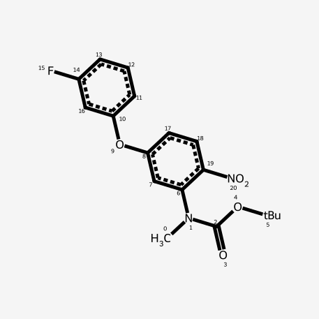 CN(C(=O)OC(C)(C)C)c1cc(Oc2cccc(F)c2)ccc1[N+](=O)[O-]